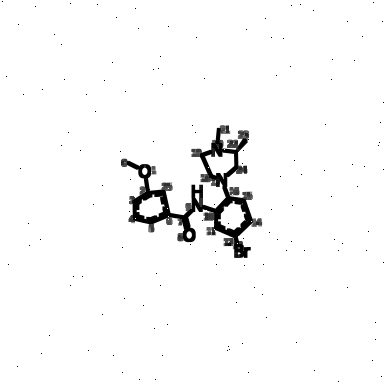 COc1cccc(C(=O)Nc2cc(Br)ccc2N2CCN(C)[C@@H](C)C2)c1